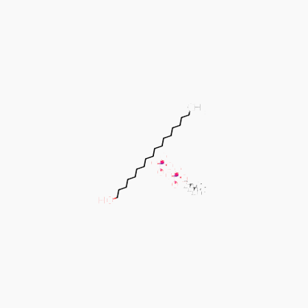 CCCCCCCCCCCCCCCCCCO.O=P([O-])([O-])[O-].O=P([O-])([O-])[O-].[Zn+2].[Zn+2].[Zn+2]